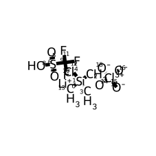 C[Si](C)(C)Cl.O=S(=O)(O)C(F)(F)F.[Li+].[O-][Cl+3]([O-])([O-])[O-]